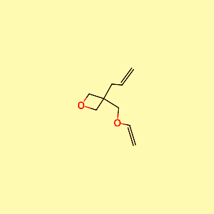 C=CCC1(COC=C)COC1